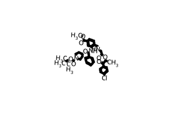 COC(=O)c1ccc(CNCC(=O)OC(C)C(=O)c2ccc(Cl)cc2)c(NC(OC2CCN(C(=O)OC(C)(C)C)CC2)c2ccccc2)c1